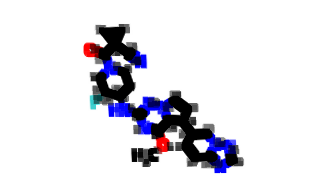 COc1nc(N[C@H]2CCN(C(=O)C3(C#N)CC3)C[C@H]2F)nn2ccc(-c3ccc4ncnn4c3)c12